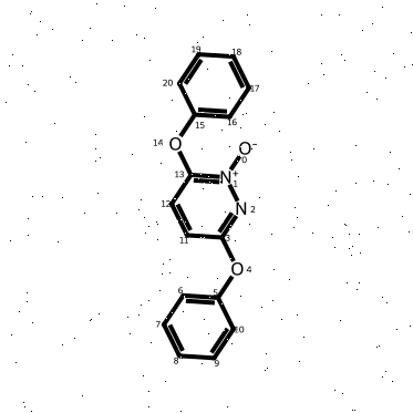 [O-][n+]1nc(Oc2ccccc2)ccc1Oc1ccccc1